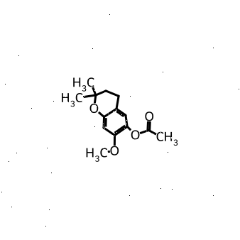 COc1cc2c(cc1OC(C)=O)CCC(C)(C)O2